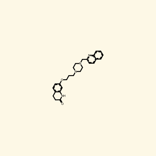 O=C1CCc2ccc(OCCCN3CCN(Cc4ccc5ccccc5n4)CC3)cc2N1